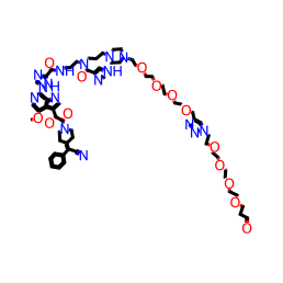 COc1cnc(-n2cnc(C(=O)NCCCN(CCCN3CCN(CCOCCOCCOCCOCc4cn(CCOCCOCCOCCOCCC=O)nn4)CC3)C(=O)c3c[nH]cn3)n2)c2[nH]cc(C(=O)C(=O)N3CCC(=C(C#N)c4ccccc4)CC3)c12